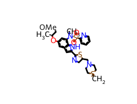 C=S1CCN(CC2CN=C(c3cc4cc(O[C@@H](C)COC)cc(N(C)S(=O)(=O)c5ccccn5)c4[nH]3)S2)CC1